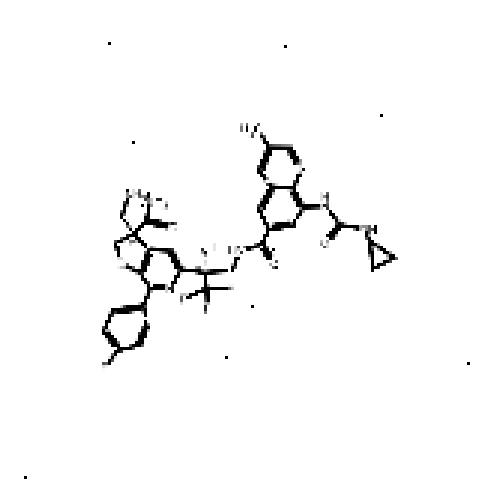 CC[C@]1(C(N)=O)COc2c1cc([C@@](O)(CNC(=O)c1cc(NC(=O)NC3CC3)c3ncc(C)cc3c1)C(F)(F)F)nc2-c1ccc(F)cc1